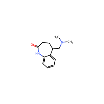 CN(C)CC1CCC(=O)Nc2ccccc21